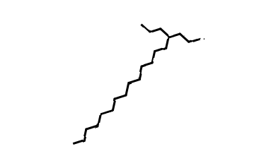 [CH2]CCC(CCC)CCCCCCCCCCCCCC